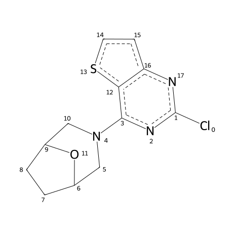 Clc1nc(N2CC3CCC(C2)O3)c2sccc2n1